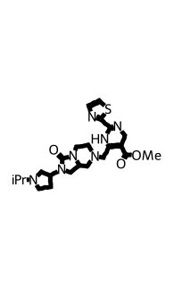 COC(=O)C1=C(CN2CCN3C(=O)N(C4CCN(C(C)C)C4)CC3C2)NC(c2nccs2)=NC1